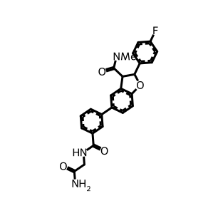 CNC(=O)C1c2cc(-c3cccc(C(=O)NCC(N)=O)c3)ccc2OC1c1ccc(F)cc1